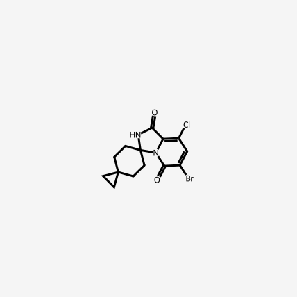 O=C1NC2(CCC3(CC3)CC2)n2c1c(Cl)cc(Br)c2=O